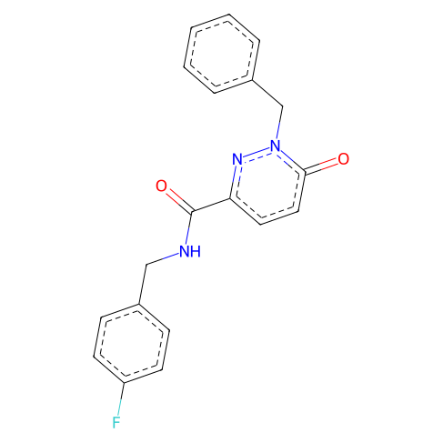 O=C(NCc1ccc(F)cc1)c1ccc(=O)n(Cc2ccccc2)n1